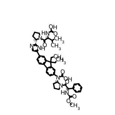 CCC1(CC)c2cc(-c3cnc([C@@H]4CCCN4C(=O)[C@@H](NC(=O)O)C(C)C)[nH]3)ccc2-c2ccc(N(C(=O)O)[C@H]3CCCN3C(=O)[C@H](NC(=O)OC)c3ccccc3)cc21